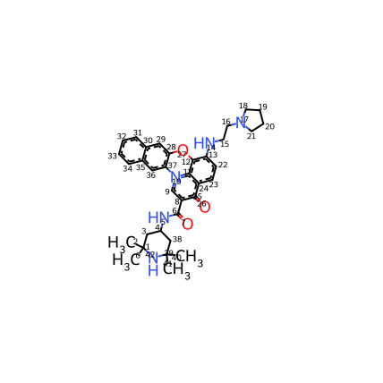 CC1(C)CC(NC(=O)c2cn3c4c(c(NCCN5CCCC5)ccc4c2=O)Oc2cc4ccccc4cc2-3)CC(C)(C)N1